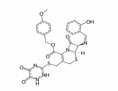 COc1ccc(COC(=O)C2=C(CSc3nc(=O)c(=O)[nH][nH]3)CS[C@@H]3[C@H](/N=C\c4ccccc4O)C(=O)N23)cc1